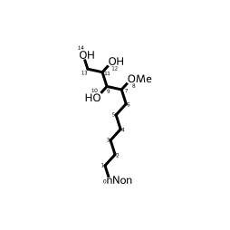 CCCCCCCCCCCCCCCC(OC)C(O)C(O)CO